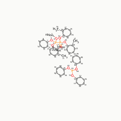 CCCCCCCCCOP(CCCCCCCCC)(OCCCCCCCCC)(Oc1ccccc1)[PH](Oc1ccccc1C)(Oc1ccccc1C)Oc1ccccc1C.c1ccc(OP(Oc2ccccc2)Oc2ccccc2)cc1